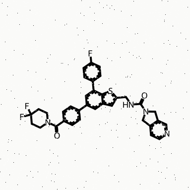 O=C(NCc1cc2cc(-c3ccc(C(=O)N4CCC(F)(F)CC4)cc3)cc(-c3ccc(F)cc3)c2s1)N1Cc2ccncc2C1